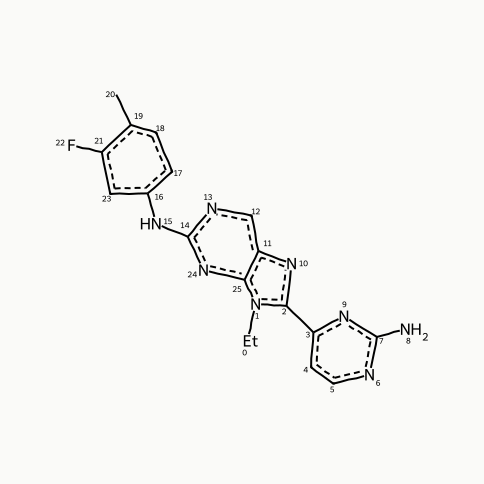 CCn1c(-c2ccnc(N)n2)nc2cnc(Nc3ccc(C)c(F)c3)nc21